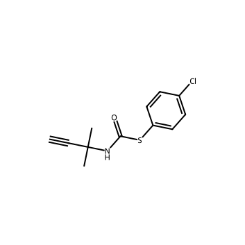 C#CC(C)(C)NC(=O)Sc1ccc(Cl)cc1